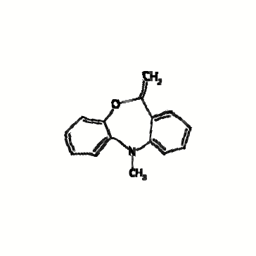 C=C1Oc2ccccc2N(C)c2ccccc21